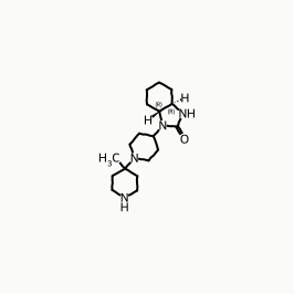 CC1(N2CCC(N3C(=O)N[C@@H]4CCCC[C@H]43)CC2)CCNCC1